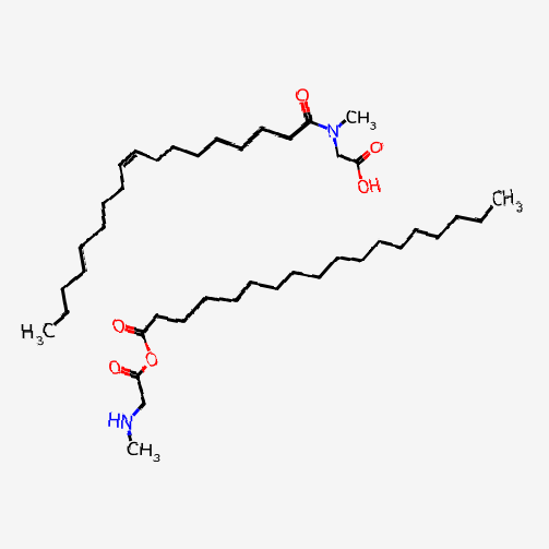 CCCCCCCC/C=C\CCCCCCCC(=O)N(C)CC(=O)O.CCCCCCCCCCCCCCCCCC(=O)OC(=O)CNC